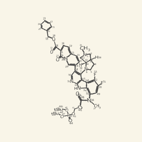 CN1C[C@@H]2CCN(c3c(-c4ccc5ccc(C(=O)OCc6ccccc6)c(=O)n5c4)cnc4[nH]c5c(N(C)C(=O)OCOP(=O)(OC(C)(C)C)OC(C)(C)C)cc(F)c(F)c5c34)[C@@H]2C1